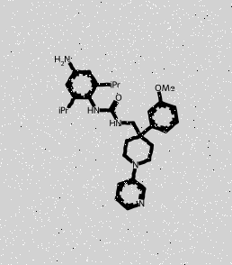 COc1cccc(C2(CNC(=O)Nc3c(C(C)C)cc(N)cc3C(C)C)CCN(c3cccnc3)CC2)c1